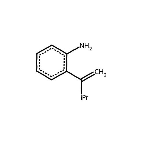 C=C(c1ccccc1N)C(C)C